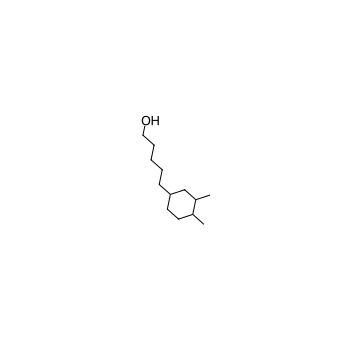 CC1CCC(CCCCCO)CC1C